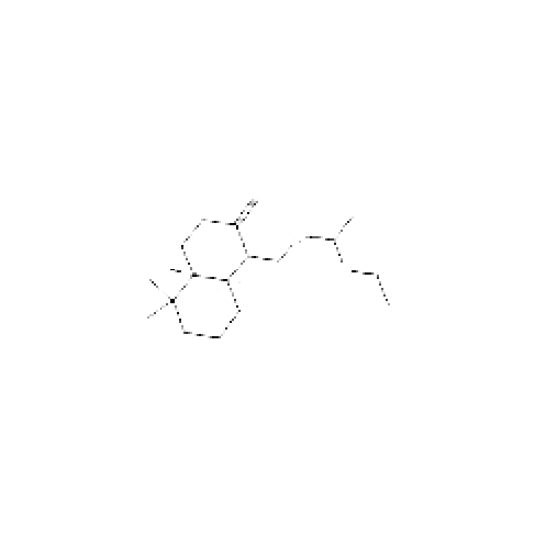 C=C1CC[C@H]2C(C)(C)CCC[C@]2(C)C1COC(C)OCC